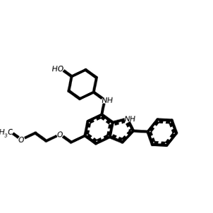 COCCOCc1cc(NC2CCC(O)CC2)c2[nH]c(-c3ccccc3)cc2c1